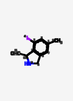 Cc1cc(I)c2c(c1)CNC2C=O